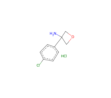 Cl.NC1(c2ccc(Cl)cc2)COC1